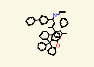 C=C[C@@H](/N=C(\C=C(/C)C1=C(C2CC=CC=C2C2(c3ccccc3)c3ccccc3Oc3ccccc32)C=CC(C)C1)c1ccc(-c2ccccc2)cc1)c1ccccc1